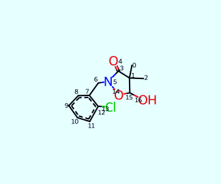 CC1(C)C(=O)N(Cc2ccccc2Cl)OC1O